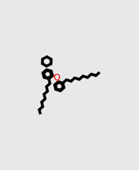 C1CCCCC1.CCCCCCCCCc1ccccc1Oc1ccccc1CCCCCCCCC